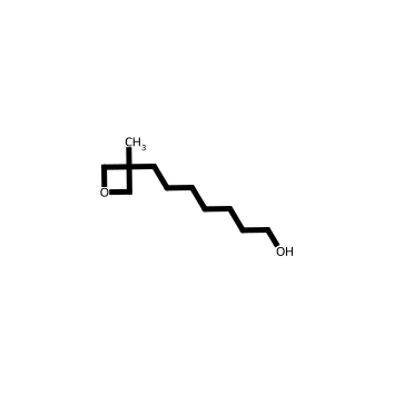 CC1(CCCCCCCO)COC1